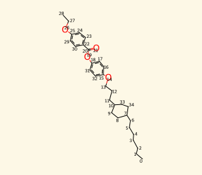 CCCCCCCC1CCC(CCCOc2ccc(OC(=O)c3ccc(OCC)cc3)cc2)CC1